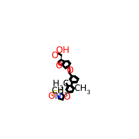 Cc1cc(O[C@@H]2CCN([S+](C)[O-])C2)cc(C)c1-c1cccc(COc2ccc3c(c2)OC[C@H]3CC(=O)O)c1